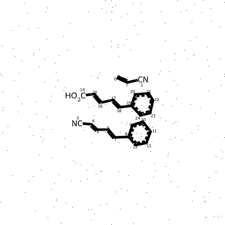 C=CC#N.N#CC=CC=Cc1ccccc1.O=C(O)C=CC=Cc1ccccc1